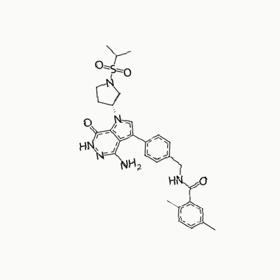 Cc1ccc(C)c(C(=O)NCc2ccc(-c3cn([C@@H]4CCN(S(=O)(=O)C(C)C)C4)c4c(=O)[nH]nc(N)c34)cc2)c1